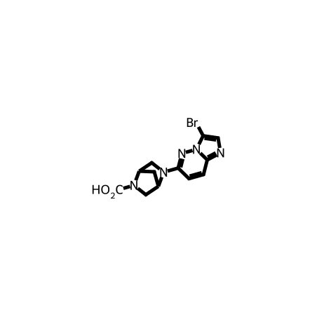 O=C(O)N1CC2CC1CN2c1ccc2ncc(Br)n2n1